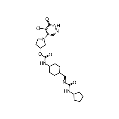 O=C(/N=C/C1CCC(NC(=O)O[C@@H]2CCN(c3cn[nH]c(=O)c3Cl)C2)CC1)NC1CCCC1